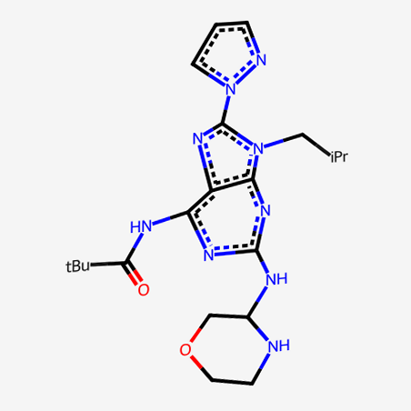 CC(C)Cn1c(-n2cccn2)nc2c(NC(=O)C(C)(C)C)nc(NC3COCCN3)nc21